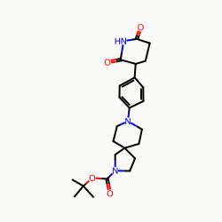 CC(C)(C)OC(=O)N1CCC2(CCN(c3ccc(C4CCC(=O)NC4=O)cc3)CC2)C1